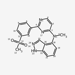 CN(c1ccnc(-c2cccc(S(C)(=O)=O)c2)n1)c1cccc2[nH]ncc12